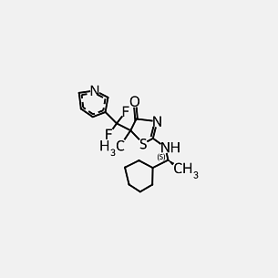 C[C@H](NC1=NC(=O)C(C)(C(F)(F)c2cccnc2)S1)C1CCCCC1